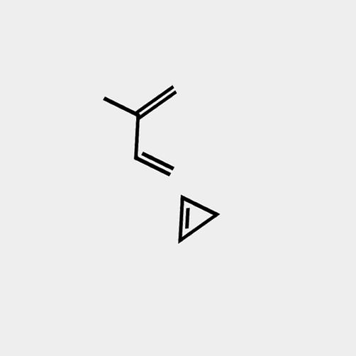 C1=CC1.C=CC(=C)C